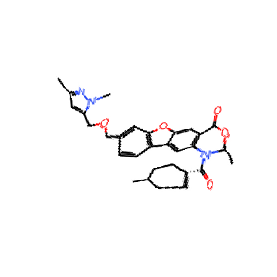 Cc1cc(COCc2ccc3c(c2)oc2cc4c(cc23)N(C(=O)[C@H]2CC[C@H](C)CC2)C(C)OC4=O)n(C)n1